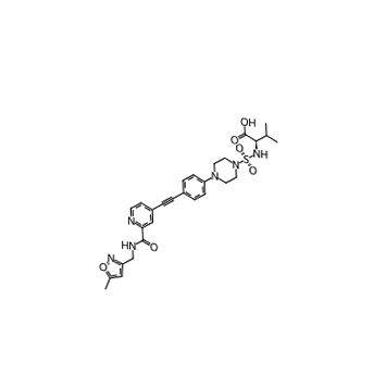 Cc1cc(CNC(=O)c2cc(C#Cc3ccc(N4CCN(S(=O)(=O)N[C@@H](C(=O)O)C(C)C)CC4)cc3)ccn2)no1